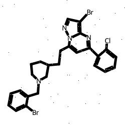 Clc1ccccc1-c1cc(CCC2CCCN(Cc3ccccc3Br)C2)n2ncc(Br)c2n1